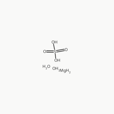 O.O.O=S(=O)(O)O.[MgH2]